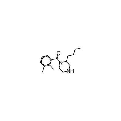 CCCC[C@H]1CNCCN1C(=O)c1cccc(C)c1C